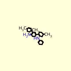 CC1C=CC(C)(C2=C(N)CCC(C3=C(NC4=CCCC=C4)CC(C)CC3)=C2)CC1